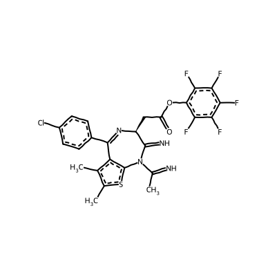 CC(=N)N1C(=N)[C@H](CC(=O)Oc2c(F)c(F)c(F)c(F)c2F)N=C(c2ccc(Cl)cc2)c2c1sc(C)c2C